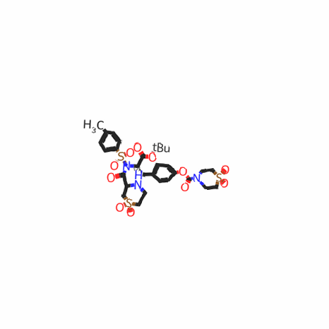 Cc1ccc(S(=O)(=O)N(C(=O)C2CS(=O)(=O)CCN2)[C@@H](Cc2ccc(OC(=O)N3CCS(=O)(=O)CC3)cc2)C(=O)OC(C)(C)C)cc1